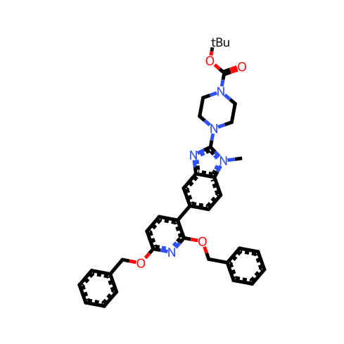 Cn1c(N2CCN(C(=O)OC(C)(C)C)CC2)nc2cc(-c3ccc(OCc4ccccc4)nc3OCc3ccccc3)ccc21